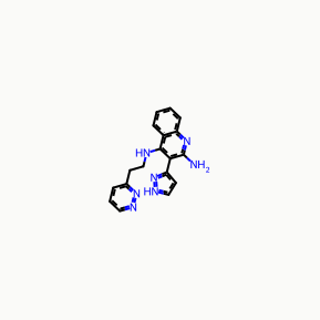 Nc1nc2ccccc2c(NCCc2cccnn2)c1-c1cc[nH]n1